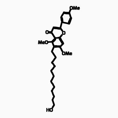 COc1ccc(-c2cc(=O)c3c(OC)c(CCCCCCCCCCCCO)c(OC)cc3o2)cc1